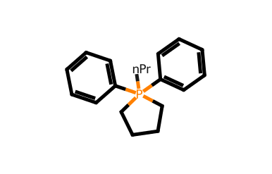 CCCP1(c2ccccc2)(c2ccccc2)CCCC1